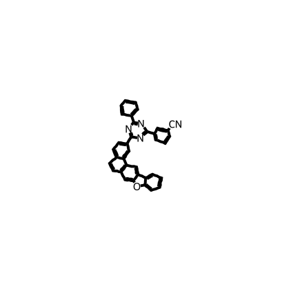 N#Cc1cccc(-c2nc(-c3ccccc3)nc(-c3ccc4ccc5cc6oc7ccccc7c6cc5c4c3)n2)c1